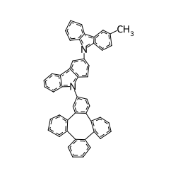 Cc1ccc2c(c1)c1ccccc1n2-c1ccc2c(c1)c1ccccc1n2-c1ccc2c(c1)-c1ccccc1-c1ccccc1-c1ccccc1-2